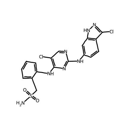 NS(=O)(=O)Cc1ccccc1Nc1nc(Nc2ccc3c(Cl)n[nH]c3c2)ncc1Cl